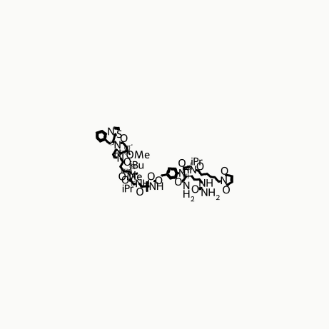 CC[C@H](C)[C@@H]([C@@H](CC(=O)N1CCC[C@H]1[C@H](OC)[C@@H](C)C(=O)N[C@@H](Cc1ccccc1)c1nccs1)OC)N(C)C(=O)[C@@H](NC(=O)C(C)(C)NC(=O)OCc1ccc(N(C(=O)[C@@H](NC(=O)CCCCCN2C(=O)C=CC2=O)C(C)C)[C@@H](CCCNC(N)=O)C(N)=O)cc1)C(C)C